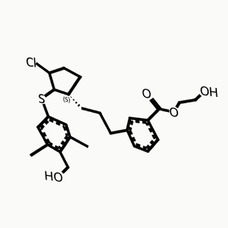 Cc1cc(SC2C(Cl)CC[C@@H]2CCCc2cccc(C(=O)OCCO)c2)cc(C)c1CO